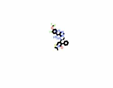 CC[C@H](Nc1ncnc(N)c1C(=N)c1ccc(OC(F)F)c(F)c1)c1cc2scc(C)n2c(=O)c1-c1ccccc1